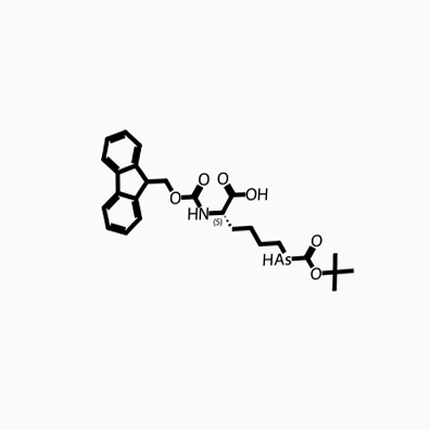 CC(C)(C)OC(=O)[AsH]CCCC[C@H](NC(=O)OCC1c2ccccc2-c2ccccc21)C(=O)O